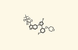 CC(C)(C)S(=O)(=O)NC(=O)c1cnn2ccc(-n3cc(F)cc3-c3cc(F)ccc3OC3CCOCC3)cc12